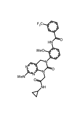 CNc1ncc2c(n1)N(CC(=O)NC1CC1)C(=O)N(c1cccc(NC(=O)c3cccc(C(F)(F)F)c3)c1OC)C2